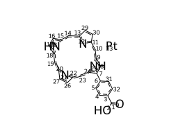 O=C(O)c1ccc(-c2cc3cc4nc(cc5ccc(cc6nc(cc2[nH]3)C=C6)[nH]5)C=C4)cc1.[Pt]